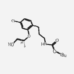 C[C@H](CO)Oc1cc(Cl)ccc1CCCNC(=O)OC(C)(C)C